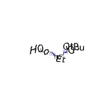 CC[C@H](/C=C/c1ccc(CO)cc1)CC/C=C/C(=O)OC(C)(C)C